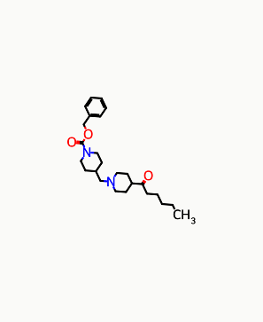 CCCCCC(=O)C1CCN(CC2CCN(C(=O)OCc3ccccc3)CC2)CC1